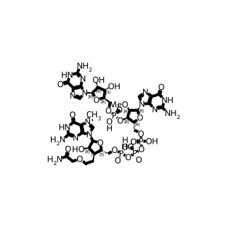 CO[C@@H]1[C@H](OP(=O)(O)OC[C@H]2O[C@@H](n3cnc4c(=O)[nH]c(N)nc43)[C@H](O)[C@@H]2O)[C@@H](COP(=O)(O)OP(=O)(O)OP(=O)(O)OC[C@H]2OC(n3c[n+](C)c4c(=O)[nH]c(N)nc43)[C@H](O)[C@@H]2CCOCC(N)=O)O[C@H]1n1cnc2c(=O)[nH]c(N)nc21